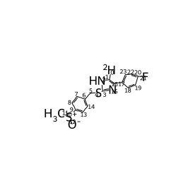 [2H]c1[nH]c(SCc2ccc([S+](C)[O-])cc2)nc1-c1ccc(F)cc1